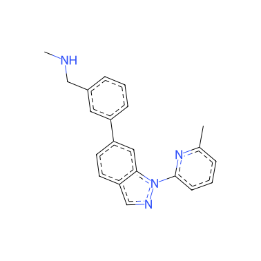 CNCc1cccc(-c2ccc3cnn(-c4cccc(C)n4)c3c2)c1